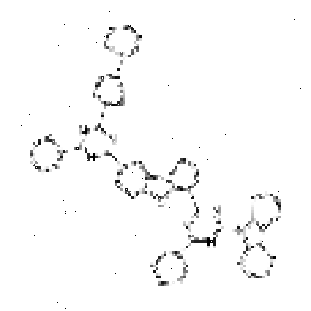 c1ccc(-c2ccc(-c3nc(-c4ccccc4)nc(-c4ccc5sc6c(-c7nc(-c8ccccc8)nc(-n8c9ccccc9c9ccccc98)n7)cccc6c5c4)n3)cc2)cc1